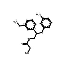 CC(C)(C)OC(=O)NCC(Cc1cccc(N)c1)c1cccc(CN)c1